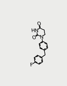 O=C1CCN(c2ccc(Cc3ccc(F)cc3)cc2)C(=O)N1